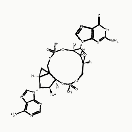 Nc1nc2c(ncn2[C@@H]2O[C@@H]3COP(=O)(O)O[C@H]4[C@@H](O)[C@H](n5cnc6c(N)ncnc65)[C@H]5CC54COP(=O)(O)O[C@@H]2[C@@H]3O)c(=O)[nH]1